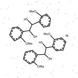 COc1ccccc1C(S)C(S)c1ccccc1OC.COc1ccccc1C(S)C(S)c1ccccc1OC.[Ni]